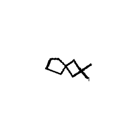 CC1(I)CC2(CCCC2)C1